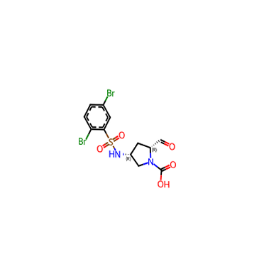 O=C[C@H]1C[C@@H](NS(=O)(=O)c2cc(Br)ccc2Br)CN1C(=O)O